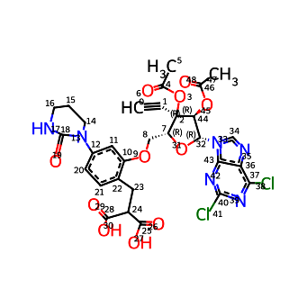 C#C[C@@]1(OC(C)=O)[C@@H](COc2cc(N3CCCNC3=O)ccc2CC(C(=O)O)C(=O)O)O[C@@H](n2cnc3c(Cl)nc(Cl)nc32)[C@@H]1OC(C)=O